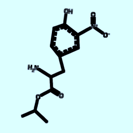 CC(C)OC(=O)C(N)Cc1ccc(O)c([N+](=O)[O-])c1